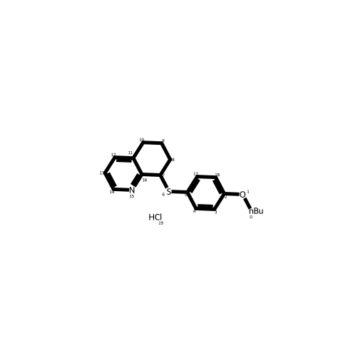 CCCCOc1ccc(SC2CCCc3cccnc32)cc1.Cl